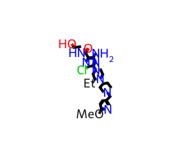 CC[C@H]1CN(c2nc(N)c(C(=O)NCCO)nc2Cl)CCN1C1CCN(Cc2ccc(OC)nc2)CC1